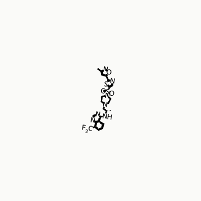 Cc1cc(-c2ncc(S(=O)(=O)N3CCN(C[C@H](C)Nc4ncnc5c(C(F)(F)F)cccc45)CC3)s2)on1